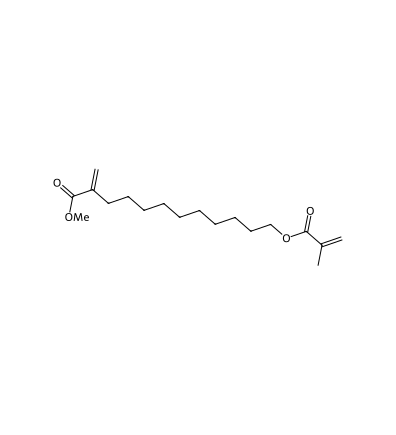 C=C(C)C(=O)OCCCCCCCCCCC(=C)C(=O)OC